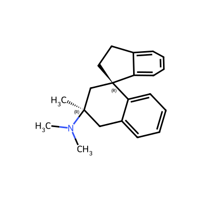 CN(C)[C@]1(C)Cc2ccccc2[C@]2(CCc3ccccc32)C1